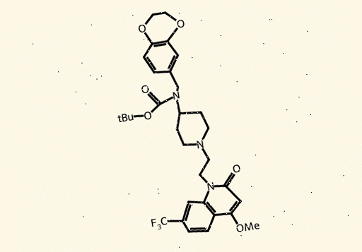 COc1cc(=O)n(CCN2CCC(N(Cc3ccc4c(c3)OCCO4)C(=O)OC(C)(C)C)CC2)c2cc(C(F)(F)F)ccc12